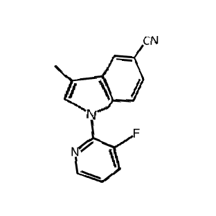 Cc1cn(-c2ncccc2F)c2ccc(C#N)cc12